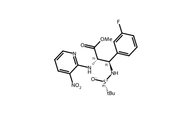 COC(=O)[C@@H](Nc1ncccc1[N+](=O)[O-])[C@H](N[S@@+]([O-])C(C)(C)C)c1cccc(F)c1